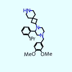 COc1ccc(CN2CCN(C3CC4(CCNCC4)C3)C(c3ccccc3C(C)C)C2)cc1OC